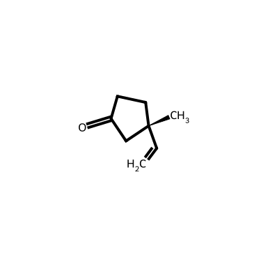 C=C[C@@]1(C)CCC(=O)C1